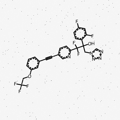 OC(Cn1cnnn1)(c1ccc(F)cc1F)C(F)(F)c1ccc(C#Cc2cccc(OCC(F)(F)F)c2)cn1